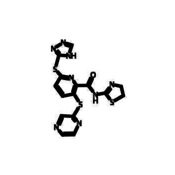 O=C(NC1=NCCS1)c1nc(Sc2nnc[nH]2)ccc1Sc1cnccn1